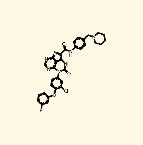 O=C(Nc1ccc(CN2CCCCC2)cc1)c1sc2ncnc3c2c1NC(=O)N3c1ccc(Oc2cccc(F)c2)c(Cl)c1